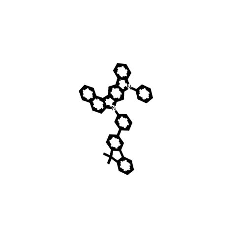 CC1(C)c2ccccc2-c2cc(-c3cccc(-n4c5cc6c(cc5c5c7ccccc7ccc54)c4ccccc4n6-c4ccccc4)c3)ccc21